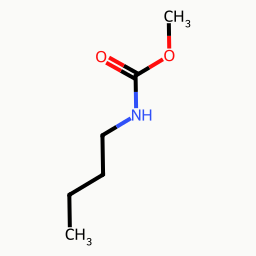 CCCCNC(=O)OC